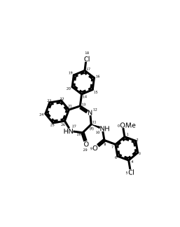 COc1ccc(Cl)cc1C(=O)N[C@@H]1N=C(c2ccc(Cl)cc2)c2ccccc2NC1=O